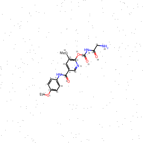 CCOc1ccc(NC(=O)c2cnc(OC(=O)NC(=O)CN)c(OC)c2)cc1